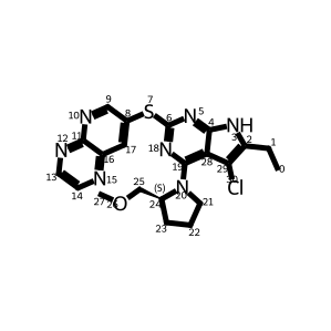 CCc1[nH]c2nc(Sc3cnc4nccnc4c3)nc(N3CCC[C@H]3COC)c2c1Cl